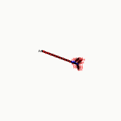 CC(=O)CCOCCOCCOCCOCCOCCOCCOCCOCCOCCOCCOCCOCCNC(=O)C(CCCN(C[C@H](O)[C@@H](O)[C@H](O)[C@H](O)CO)C[C@H](O)[C@@H](O)[C@H](O)[C@H](O)CO)NC[C@H](O)[C@@H](O)[C@H](O)[C@H](O)CO